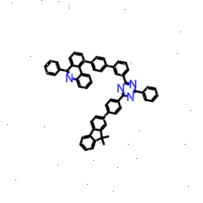 CC1(C)c2ccccc2-c2ccc(-c3ccc(-c4nc(-c5ccccc5)nc(-c5cccc(-c6ccc(-c7cccc8c(-c9ccccc9)nc9ccccc9c78)cc6)c5)n4)cc3)cc21